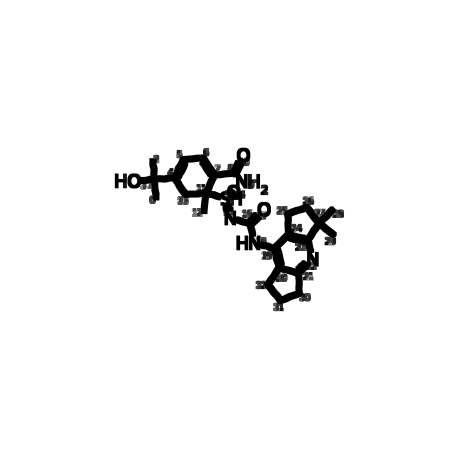 CC(C)(O)C1=CC=C(C(N)=O)C(C)(/[SH](=O)=N/C(=O)Nc2c3c(nc4c2CCC4(C)C)CCC3)C1